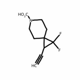 C#CC1C(F)(F)C12CCN(C(=O)O)CC2